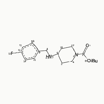 CC(C)COC(=O)N1CCC(NCc2ccc(F)cc2)CC1